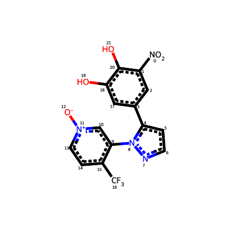 O=[N+]([O-])c1cc(-c2ccnn2-c2c[n+]([O-])ccc2C(F)(F)F)cc(O)c1O